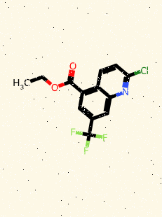 CCOC(=O)c1cc(C(F)(F)F)cc2nc(Cl)ccc12